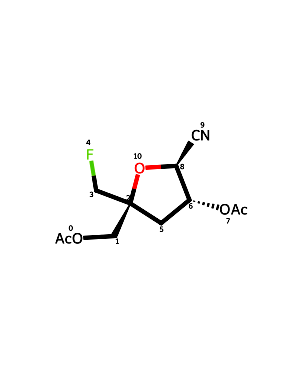 CC(=O)OC[C@]1(CF)C[C@@H](OC(C)=O)[C@H](C#N)O1